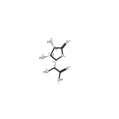 O=C(O)C(O)[C@H]1OC(=O)[C@@H](O)[C@H]1O